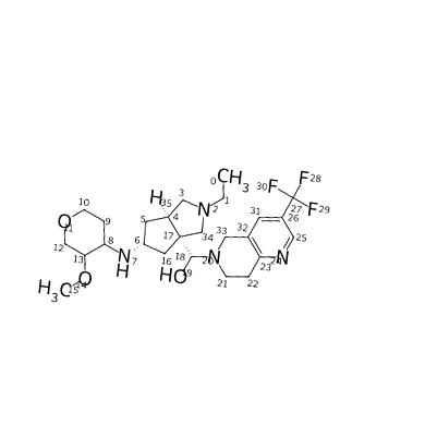 CCN1C[C@@H]2C[C@@H](NC3CCOCC3OC)C[C@]2(C(O)N2CCc3ncc(C(F)(F)F)cc3C2)C1